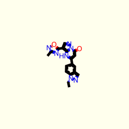 CCn1ncc2cc(-c3cc(=O)n4ncc(-c5nc(C)no5)c4[nH]3)ccc21